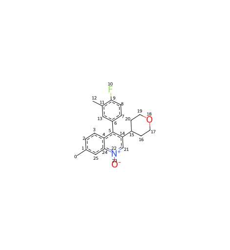 Cc1ccc2c(-c3ccc(F)c(C)c3)c(C3CCOCC3)c[n+]([O-])c2c1